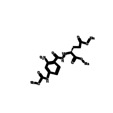 CC(C)(C)OC(=O)CC[C@@H](NNC(=O)c1ccc(NC(=O)OC(C)(C)C)cc1[N+](=O)[O-])C(=O)OC(C)(C)C